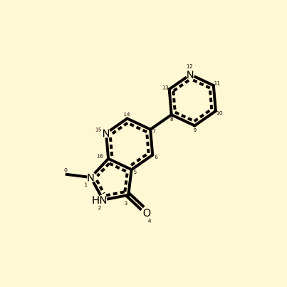 Cn1[nH]c(=O)c2cc(-c3cccnc3)cnc21